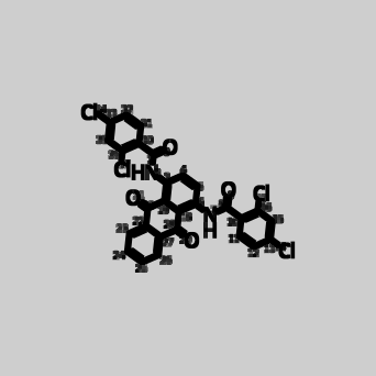 O=C(Nc1ccc(NC(=O)c2ccc(Cl)cc2Cl)c2c1C(=O)c1ccccc1C2=O)c1ccc(Cl)cc1Cl